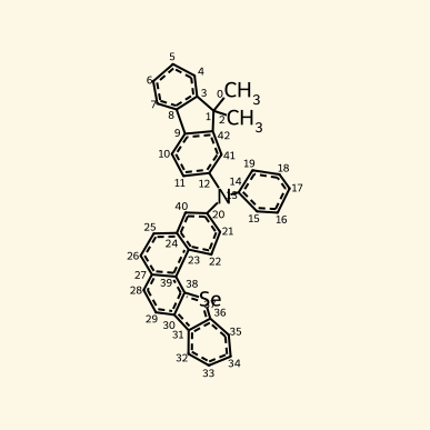 CC1(C)c2ccccc2-c2ccc(N(c3ccccc3)c3ccc4c(ccc5ccc6c7ccccc7[se]c6c54)c3)cc21